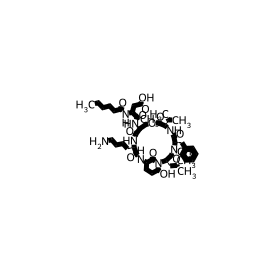 CCCCCC(=O)NC(CC(=O)O)C(=O)N[C@@H]1C(=O)N[C@@H](CCCCN)C(=O)NC2CCC(O)N(C2=O)[C@@H](CC(C)C)C(=O)N(C)[C@@H](Cc2ccccc2)C(=O)N[C@@H](C(C)C)C(=O)O[C@@H]1C